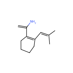 C=C(N)C1=C(C=C(C)C)CCCC1